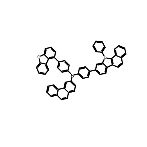 c1ccc(-n2c3cc(-c4ccc(N(c5ccc(-c6cccc7oc8ccccc8c67)cc5)c5ccc6ccc7ccccc7c6c5)cc4)ccc3c3ccc4ccccc4c32)cc1